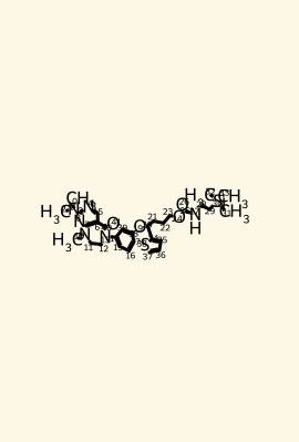 CN(C)c1ncc2c(n1)N(C)CCN(c1cccc(OC(CCCOC(=O)NCC[Si](C)(C)C)c3cccs3)c1)C2=O